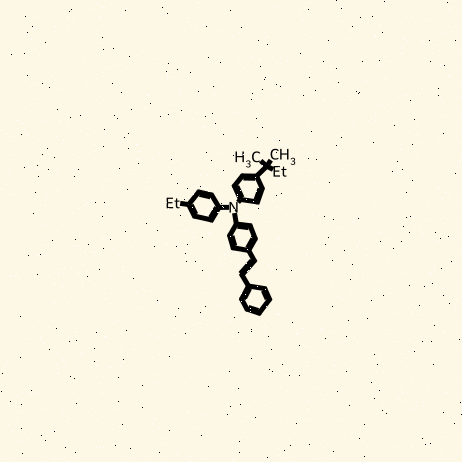 CCc1ccc(N(c2ccc(C=Cc3ccccc3)cc2)c2ccc(C(C)(C)CC)cc2)cc1